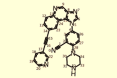 N#Cc1cc(-n2cnc3cnc4ccc(C#Cc5cccnc5)cc4c32)ccc1N1CCNCC1